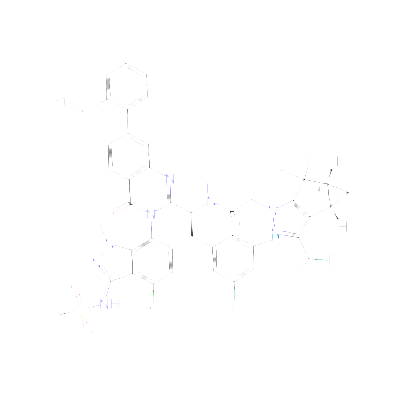 CC(C)Oc1ccccc1-c1ccc2c(=O)n(-c3ccc(Cl)c4c(NS(C)(=O)=O)nn(C)c34)c([C@H](Cc3cc(F)cc(F)c3)NC(=O)Cn3nc(C(F)F)c4c3C(F)(F)[C@@H]3C[C@H]43)nc2c1